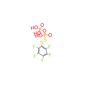 O=P(O)(O)OP(=O)(O)SSc1c(F)c(F)c(F)c(F)c1F